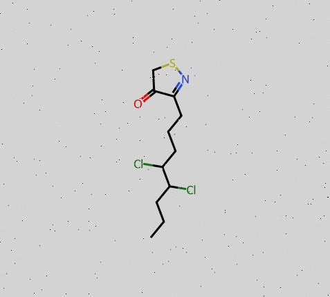 CCCC(Cl)C(Cl)CCCC1=NSCC1=O